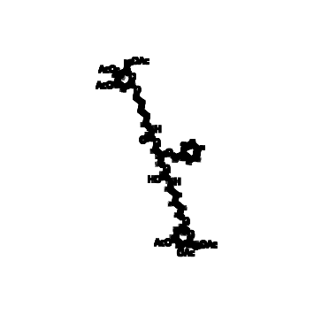 CC(=O)OCC1O[C@@H](OCCCCCNC(=O)OCC(COC(O)NCCCCCO[C@H]2C[C@@H](OC(C)=O)[C@@H](OC(C)=O)C(COC(C)=O)O2)OCc2ccccc2)C[C@@H](OC(C)=O)[C@H]1OC(C)=O